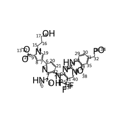 CNC(=O)c1nc(-c2cc(C(=O)OC)n(CCCO)c2)ccc1Nc1nc(Nc2ccc(CP=O)cc2OC)ncc1C(F)(F)F